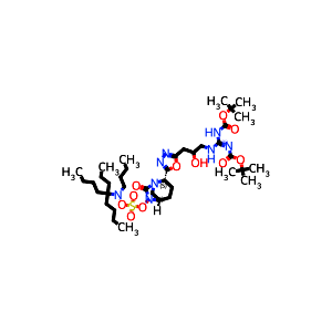 CCCCN(OS(=O)(=O)ON1C(=O)N2C[C@@H]1CC[C@H]2c1nnc(CC(O)CN/C(=N\C(=O)OC(C)(C)C)NC(=O)OC(C)(C)C)o1)C(CCC)(CCCC)CCCC